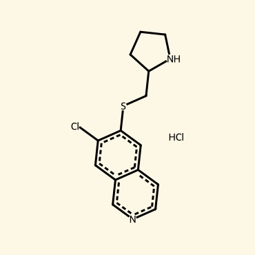 Cl.Clc1cc2cnccc2cc1SCC1CCCN1